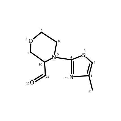 Cc1csc(N2CCOCC2C=O)n1